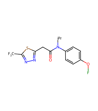 CC(C)N(C(=O)Cc1nnc(C(F)(F)F)s1)c1ccc(OF)cc1